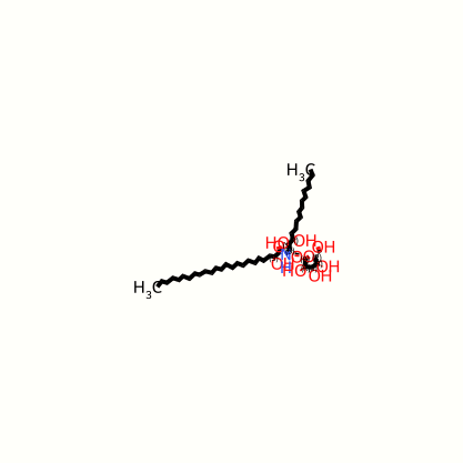 CCCCCCCCCCCCCCCCCCCCCC[C@H](O)C(=O)N[C@@H](CO[C@H]1O[C@H](CO)[C@H](O)[C@H](O)[C@H]1O)[C@H](O)[C@H](O)CCCCCCCCCCCCC